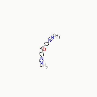 CN1CCN(c2ccc(-c3ccc(-c4ccc(N5CCN(C)CC5)cc4)o3)cc2)CC1